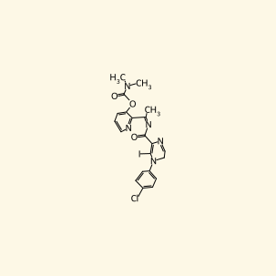 CC(=NC(=O)C1=C(I)N(c2ccc(Cl)cc2)CC=N1)c1ncccc1OC(=O)N(C)C